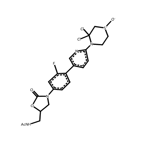 CC(=O)NCC1CN(c2ccc(-c3ccc(N4CC[S+]([O-])CC4(Cl)Cl)nc3)c(F)c2)C(=O)O1